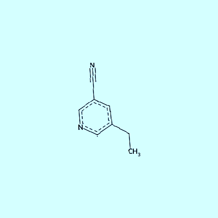 CCc1[c]ncc(C#N)c1